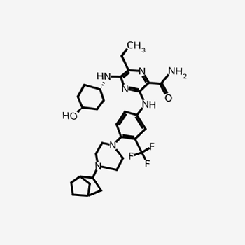 CCc1nc(C(N)=O)c(Nc2ccc(N3CCN(C4CC5CCC4C5)CC3)c(C(F)(F)F)c2)nc1N[C@H]1CC[C@H](O)CC1